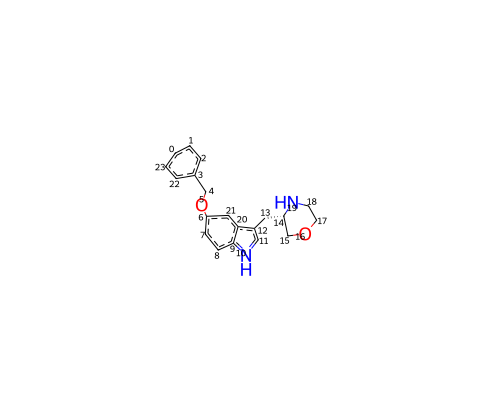 c1ccc(COc2ccc3[nH]cc(C[C@H]4COCCN4)c3c2)cc1